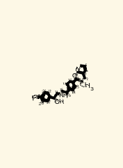 CN(Cc1cccnc1)C(=O)c1ccc(CCNC[C@H](O)c2ccc(F)cc2)cc1